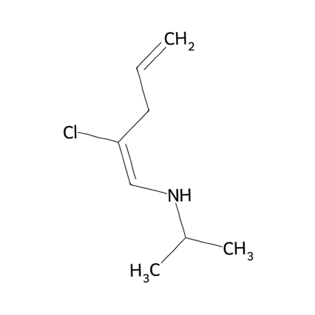 C=CC/C(Cl)=C\NC(C)C